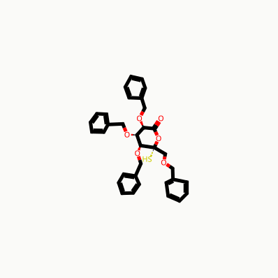 O=C1O[C@@](S)(COCc2ccccc2)[C@@H](OCc2ccccc2)[C@H](OCc2ccccc2)[C@H]1OCc1ccccc1